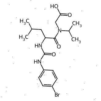 CC(C)CC(NC(=O)Nc1ccc(Br)cc1)C(=O)N(CC(=O)O)C(C)C